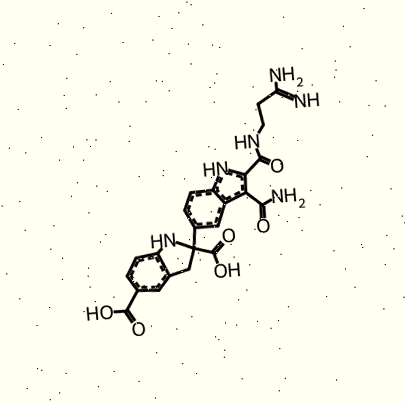 N=C(N)CCNC(=O)c1[nH]c2ccc(C3(C(=O)O)Cc4cc(C(=O)O)ccc4N3)cc2c1C(N)=O